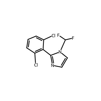 FC(F)n1ccnc1-c1c(Cl)cccc1Cl